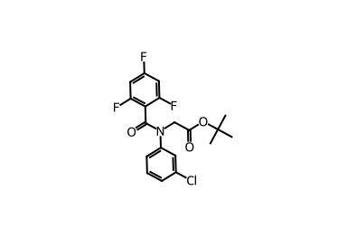 CC(C)(C)OC(=O)CN(C(=O)c1c(F)cc(F)cc1F)c1cccc(Cl)c1